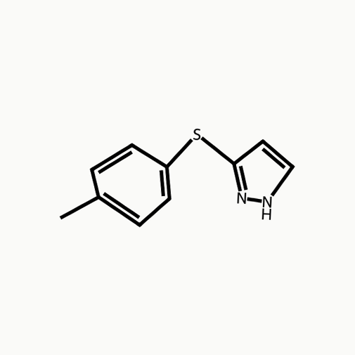 Cc1ccc(Sc2cc[nH]n2)cc1